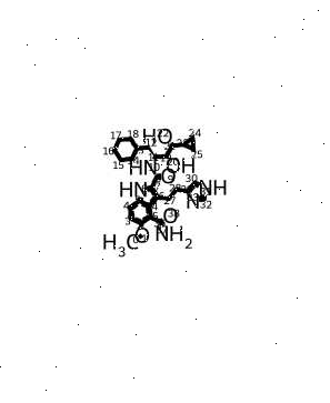 COc1ccc2[nH]c(C(=O)N[C@@H](CC3CCCCC3)[C@@H](O)[C@@H](O)C3CC3)c(CCc3c[nH]cn3)c2c1C(N)=O